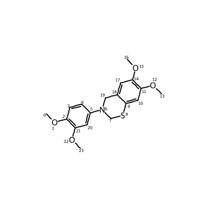 COc1ccc(N2CSc3cc(OC)c(OC)cc3C2)cc1OC